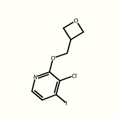 Clc1c(I)ccnc1OCC1COC1